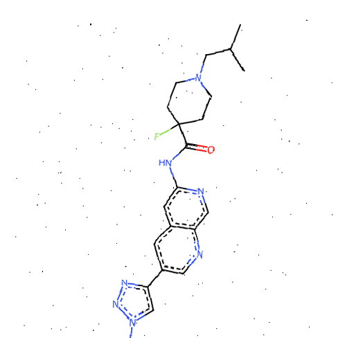 CC(C)CN1CCC(F)(C(=O)Nc2cc3cc(-c4cn(C)nn4)cnc3cn2)CC1